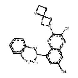 Cc1cc([C@@H](C)Nc2ccccc2C(=O)O)c2nc(N3CC4(CCO4)C3)c(C#N)nc2c1